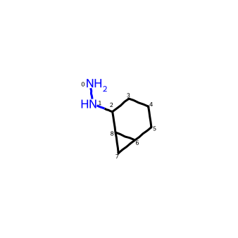 NNC1CCCC2CC21